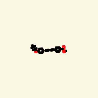 COC(=O)c1ccc(C#CC#C[C@H]2CC[C@@H](O[Si](C)(C)C(C)(C)C)CC2)cc1